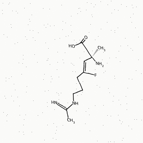 CC(=N)NCCC/C(F)=C/[C@](C)(N)C(=O)O